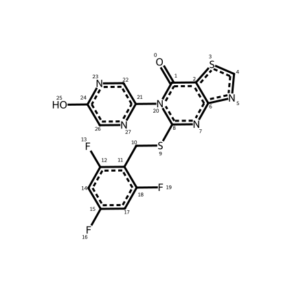 O=c1c2scnc2nc(SCc2c(F)cc(F)cc2F)n1-c1cnc(O)cn1